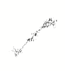 CN1Cc2c(Cl)cc(Cl)cc2C(c2ccc3c(c2Cl)C(=O)N(CCOCCOCCNC(=O)NCCCCNC(=O)NCCOCCOCCN2Cc4ccc(C5CN(C)Cc6c(Cl)cc(Cl)cc65)c(Cl)c4C2=O)C3)C1